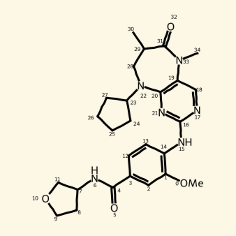 COc1cc(C(=O)NC2CCOC2)ccc1Nc1ncc2c(n1)N(C1CCCC1)CC(C)C(=O)N2C